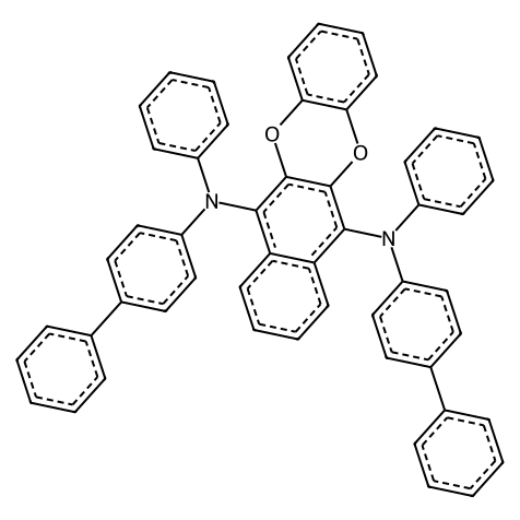 c1ccc(-c2ccc(N(c3ccccc3)c3c4c(c(N(c5ccccc5)c5ccc(-c6ccccc6)cc5)c5ccccc35)Oc3ccccc3O4)cc2)cc1